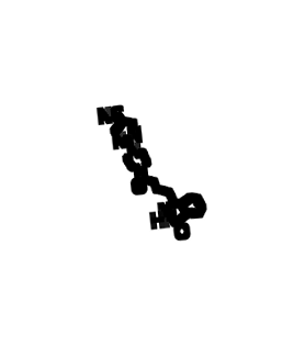 N#Cc1cnc(N2CCN(C(=O)CCCc3n[nH]c(=O)c4ccccc34)CC2)nc1